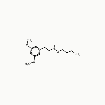 CCCCONCCc1cc(OC)cc(OC)c1